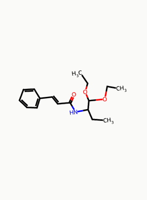 CCOC(OCC)C(CC)NC(=O)C=Cc1ccccc1